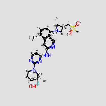 C[C@@H]1[C@@H](CS(C)(=O)=O)CN1c1ccc(C(F)(F)F)c2cc(Nc3ccnc(N4CC[C@@H](O)[C@@](C)(F)C4)n3)ncc12